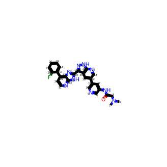 CN(C)CC(=O)Nc1cncc(-c2cnc3[nH]nc(-c4nc5c(-c6ccccc6F)ccnc5[nH]4)c3c2)c1